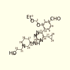 CCOCOc1cc(C=O)ccc1-c1nnc(N[C@@H]2CCCN(CCO)C2)nc1C1CC1